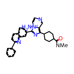 CNC(=O)C1CCC(C2=C3C=NC=C[N+]3(N)C(c3ccc4ccc(-c5ccccc5)nc4c3)=N2)CC1